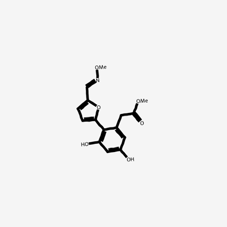 CON=Cc1ccc(-c2c(O)cc(O)cc2CC(=O)OC)o1